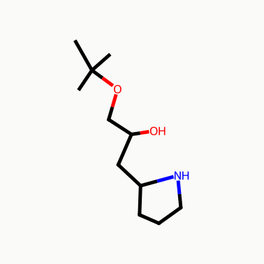 CC(C)(C)OCC(O)CC1CCCN1